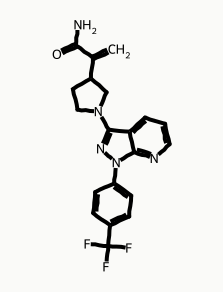 C=C(C(N)=O)C1CCN(c2nn(-c3ccc(C(F)(F)F)cc3)c3ncccc23)C1